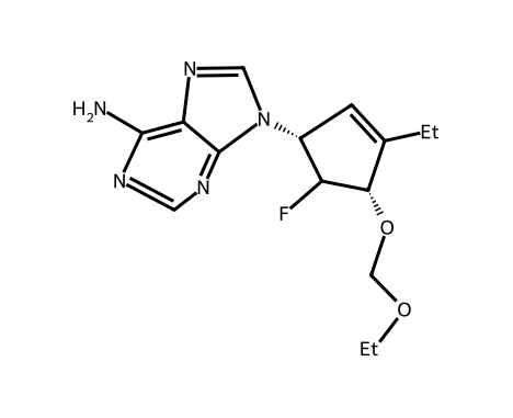 CCOCO[C@H]1C(CC)=C[C@@H](n2cnc3c(N)ncnc32)C1F